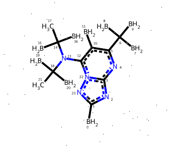 Bc1nc2nc(C(B)(B)B)c(B)c(N(C(B)(B)C)C(B)(B)C)n2n1